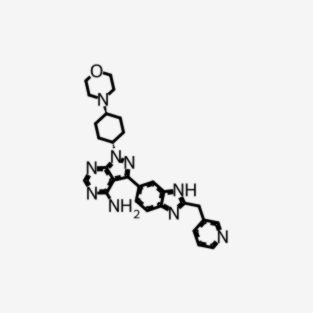 Nc1ncnc2c1c(-c1ccc3nc(Cc4cccnc4)[nH]c3c1)nn2[C@H]1CC[C@H](N2CCOCC2)CC1